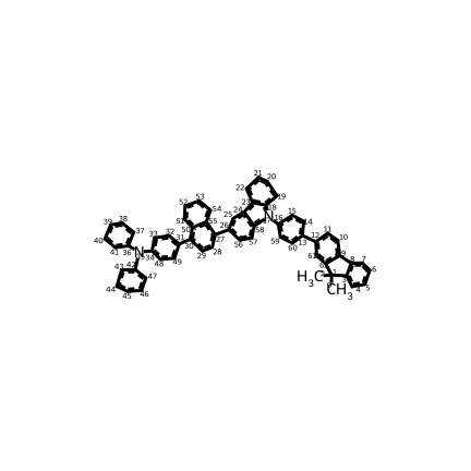 CC1(C)c2ccccc2-c2ccc(-c3ccc(-n4c5ccccc5c5cc(-c6ccc(-c7ccc(N(c8ccccc8)c8ccccc8)cc7)c7ccccc67)ccc54)cc3)cc21